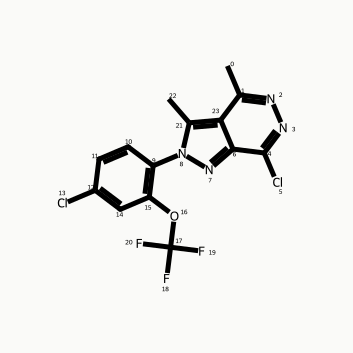 Cc1nnc(Cl)c2nn(-c3ccc(Cl)cc3OC(F)(F)F)c(C)c12